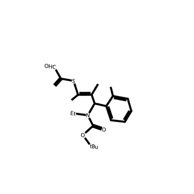 C=C(C=O)S/C(C)=C(\C)C(c1ccccc1C)N(CC)C(=O)OC(C)(C)C